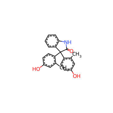 Cc1cc(O)ccc1C1(c2ccc(O)cc2C)C(=O)Nc2ccccc21